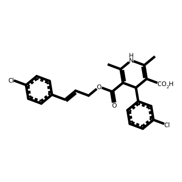 CC1=C(C(=O)O)C(c2cccc(Cl)c2)C(C(=O)OC/C=C/c2ccc(Cl)cc2)=C(C)N1